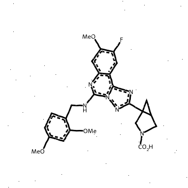 COc1ccc(CNc2nc3cc(OC)c(F)cc3c3nc(C45CC4CN(C(=O)O)C5)nn23)c(OC)c1